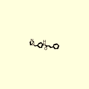 O=C(C=Cc1ccccc1)Nc1ccc(Cn2ccnc2)cc1